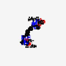 COC(=O)N[C@H](C(=O)N1CC2(CC2)C[C@H]1c1ncc(-c2ccc3cc(-c4ccc(-c5cnc([C@@H](NC(=O)[C@@H](NC(=O)OC)C6CCOCC6)C6CCCC6)[nH]5)cc4)ccc3c2)[nH]1)C(C)C